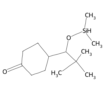 C[SiH](C)OC(C1CCC(=O)CC1)C(C)(C)C